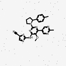 COc1c(Nc2ncc(C#N)s2)nc(N2CCCC2c2ccc(C)cc2)nc1-c1cnc(C)nc1